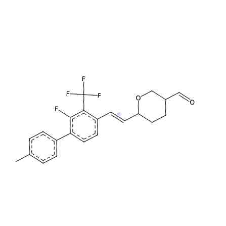 Cc1ccc(-c2ccc(/C=C/C3CCC(C=O)CO3)c(C(F)(F)F)c2F)cc1